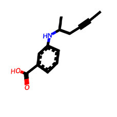 CC#CCC(C)Nc1cccc(C(=O)O)c1